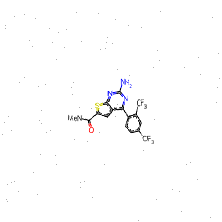 CNC(=O)c1cc2c(-c3ccc(C(F)(F)F)cc3C(F)(F)F)nc(N)nc2s1